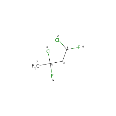 FC(Cl)CC(F)(Cl)C(F)(F)F